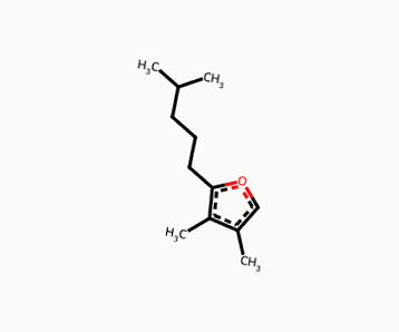 Cc1coc(CCCC(C)C)c1C